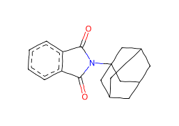 O=C1c2ccccc2C(=O)N1C12CC3CC(CC(C3)C1)C2